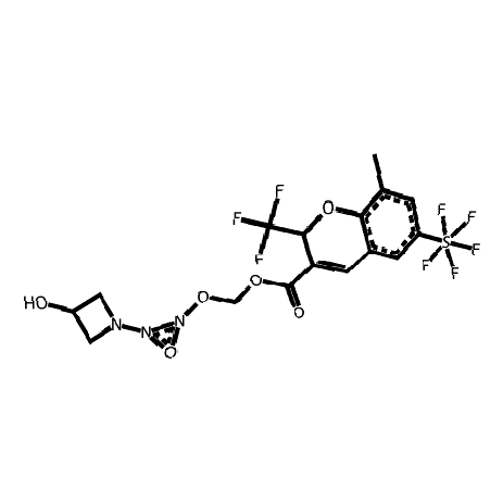 Cc1cc(S(F)(F)(F)(F)F)cc2c1OC(C(F)(F)F)C(C(=O)OCOn1on1N1CC(O)C1)=C2